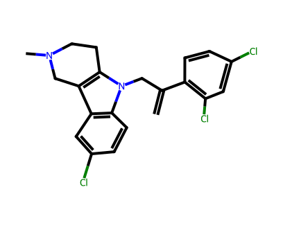 C=C(Cn1c2c(c3cc(Cl)ccc31)CN(C)CC2)c1ccc(Cl)cc1Cl